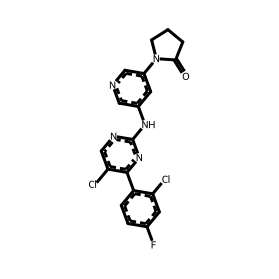 O=C1CCCN1c1cncc(Nc2ncc(Cl)c(-c3ccc(F)cc3Cl)n2)c1